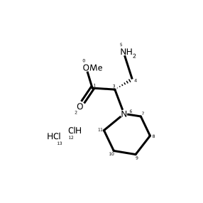 COC(=O)[C@H](CN)N1CCCCC1.Cl.Cl